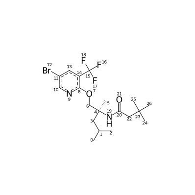 CC(C)C[C@@](C)(COc1ncc(Br)cc1C(F)(F)F)NC(=O)CC(C)(C)C